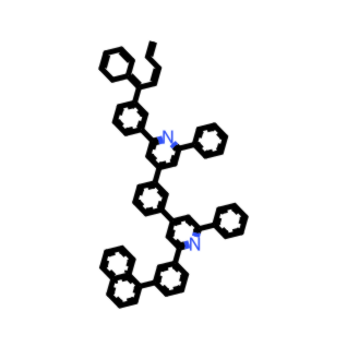 C=C/C=C\C(=C1/C=CC=CC1)c1cccc(-c2cc(-c3cccc(-c4cc(-c5ccccc5)nc(-c5cccc(-c6cccc7ccccc67)c5)c4)c3)cc(-c3ccccc3)n2)c1